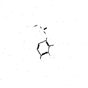 Cc1ccc([O][Cr](=[O])(=[O])[O][SiH3])c(C)c1C